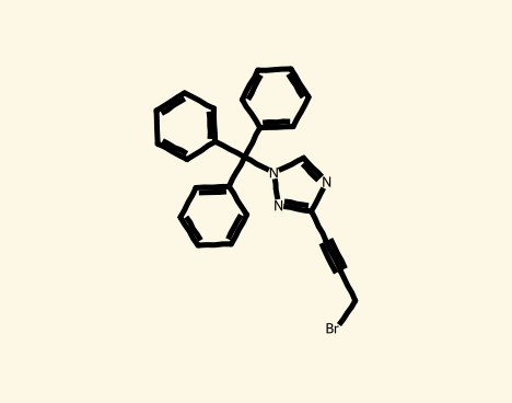 BrCC#Cc1ncn(C(c2ccccc2)(c2ccccc2)c2ccccc2)n1